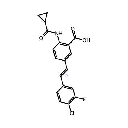 O=C(O)c1cc(/C=C/c2ccc(Cl)c(F)c2)ccc1NC(=O)C1CC1